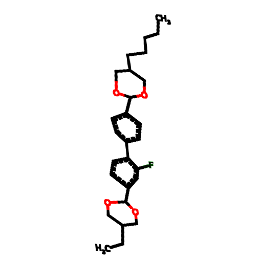 CCCCCC1COC(c2ccc(-c3ccc(C4OCC(CC)CO4)cc3F)cc2)OC1